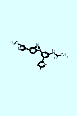 CC(=O)Nc1cc(-c2ccc(F)cn2)cc(-n2cnc3cc(-c4cnn(C)c4)ccc32)c1